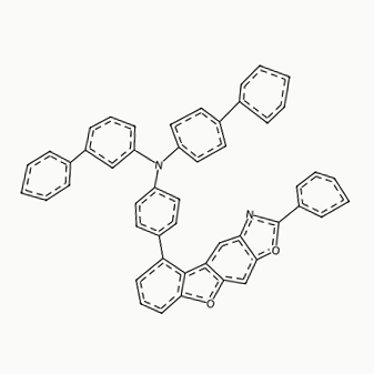 c1ccc(-c2ccc(N(c3ccc(-c4cccc5oc6cc7oc(-c8ccccc8)nc7cc6c45)cc3)c3cccc(-c4ccccc4)c3)cc2)cc1